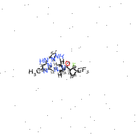 Cc1cc(Nc2cc[nH]n2)nc(CN2C[C@H]3C[C@@H]2CN3C(=O)c2cccc(C(F)(F)F)c2F)n1